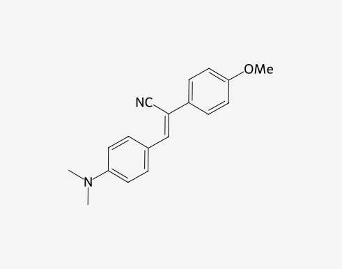 COc1ccc(C(C#N)=Cc2ccc(N(C)C)cc2)cc1